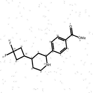 COC(=O)c1ccc(C2CC(C3CC(F)(F)C3)CCN2)cc1